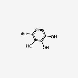 CCC(C)c1ccc(O)c(O)c1O